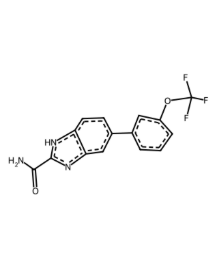 NC(=O)c1nc2cc(-c3cccc(OC(F)(F)F)c3)ccc2[nH]1